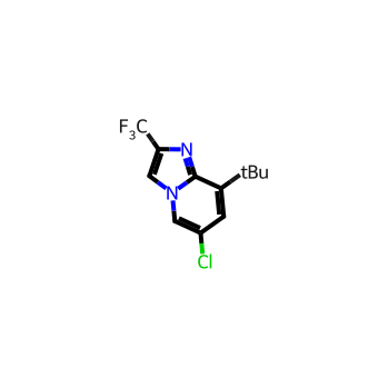 CC(C)(C)c1cc(Cl)cn2cc(C(F)(F)F)nc12